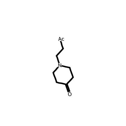 CC(=O)CCN1CCC(=O)CC1